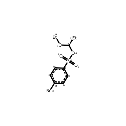 CCO[C@@H](CC)OS(=O)(=O)c1ccc(Br)cc1